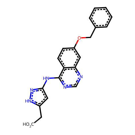 O=C(O)Cc1cc(Nc2ncnc3cc(OCc4ccccc4)ccc23)n[nH]1